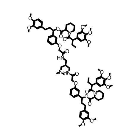 CCC(C(=O)N1CCCCC1C(=O)OC(CCc1ccc(OC)c(OC)c1)c1cccc(OCC(=O)NCC(CNC(=O)COc2cccc(C(CCc3ccc(OC)c(OC)c3)OC(=O)C3CCCCN3C(=O)C(CC)c3cc(OC)c(OC)c(OC)c3)c2)CN(C)C)c1)c1cc(OC)c(OC)c(OC)c1